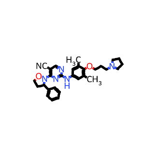 Cc1cc(Nc2ncc(C#N)c(N3OCCC3c3ccccc3)n2)cc(C)c1OCCCN1CCCC1